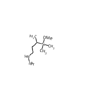 CCCNCCC(C)[Si](C)(C)OC